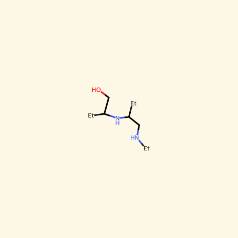 CCNCC(CC)NC(CC)CO